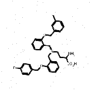 Cc1cccc(COc2ccccc2CN(CCC(N)C(=O)O)Cc2ccccc2OCc2ccc(F)cc2)c1